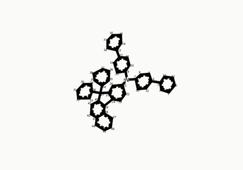 c1ccc(-c2ccc(N(c3ccc(-c4ccccc4)cc3)c3ccc4c(c3)C(c3ccccc3)(c3ccccc3)c3ccc5ccccc5c3-4)cc2)cc1